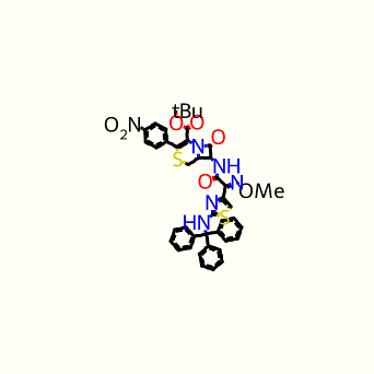 CON=C(C(=O)NC1C(=O)N2C(C(=O)OC(C)(C)C)=C(c3ccc([N+](=O)[O-])cc3)SCC12)c1csc(NC(c2ccccc2)(c2ccccc2)c2ccccc2)n1